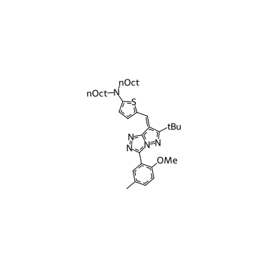 CCCCCCCCN(CCCCCCCC)c1ccc(/C=c2/c(C(C)(C)C)nn3c(-c4cc(C)ccc4OC)nnc23)s1